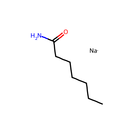 CCCCCCC(N)=O.[Na]